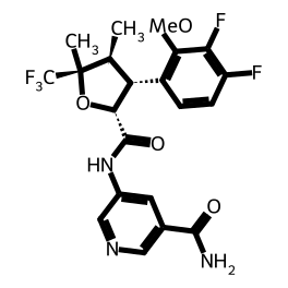 COc1c([C@@H]2[C@H](C(=O)Nc3cncc(C(N)=O)c3)O[C@@](C)(C(F)(F)F)[C@H]2C)ccc(F)c1F